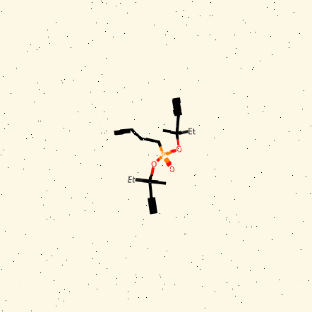 C#CC(C)(CC)OP(=O)(CCC=C)OC(C)(C#C)CC